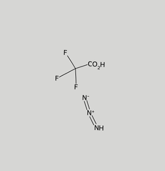 O=C(O)C(F)(F)F.[N-]=[N+]=N